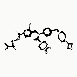 O=C(NNC(=O)C(F)F)c1ccc(CN(C(=O)N2CCS(=O)(=O)CC2)c2ccc(CN3CCN(C4COC4)CC3)cc2)c(F)c1